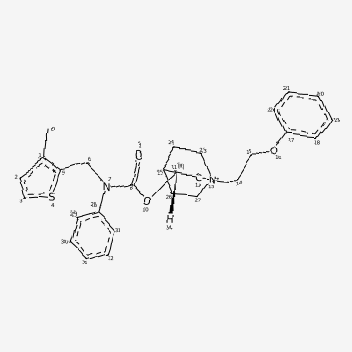 Cc1ccsc1CN(C(=O)O[C@H]1C[N+]2(CCOc3ccccc3)CCC1CC2)c1ccccc1